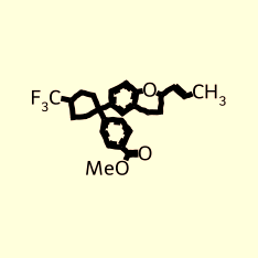 C/C=C/C1CCc2cc(C3(c4ccc(C(=O)OC)cc4)CCC(C(F)(F)F)CC3)ccc2O1